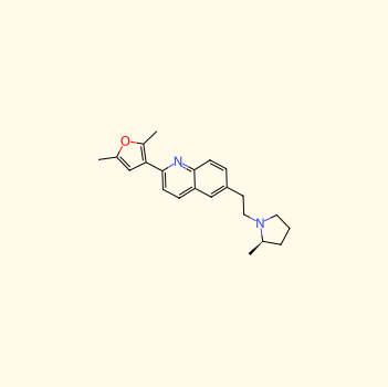 Cc1cc(-c2ccc3cc(CCN4CCC[C@H]4C)ccc3n2)c(C)o1